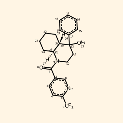 O=C(c1ccc(C(F)(F)F)nc1)N1CCC(O)(c2ccccc2)[C@H]2CCCC[C@@H]21